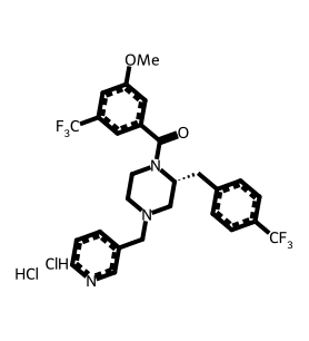 COc1cc(C(=O)N2CCN(Cc3cccnc3)C[C@H]2Cc2ccc(C(F)(F)F)cc2)cc(C(F)(F)F)c1.Cl.Cl